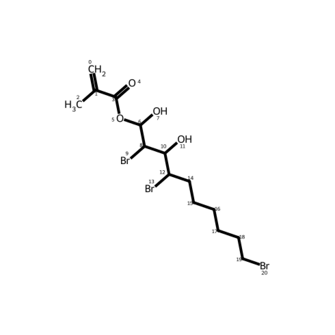 C=C(C)C(=O)OC(O)C(Br)C(O)C(Br)CCCCCCBr